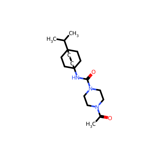 CC(=O)N1CCN(C(=O)NC23CCC(C(C)C)(CC2)CC3)CC1